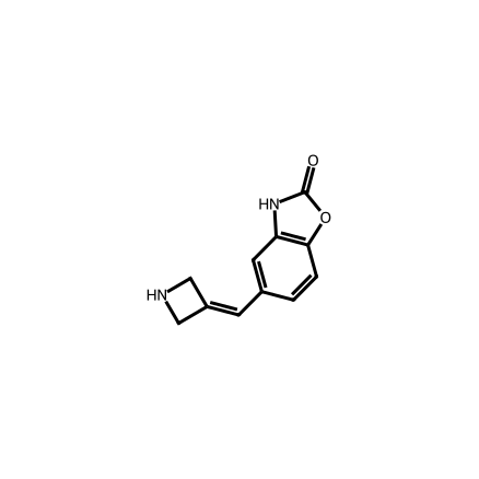 O=c1[nH]c2cc(C=C3CNC3)ccc2o1